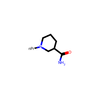 [CH2]CCN1CCCC(C(N)=O)C1